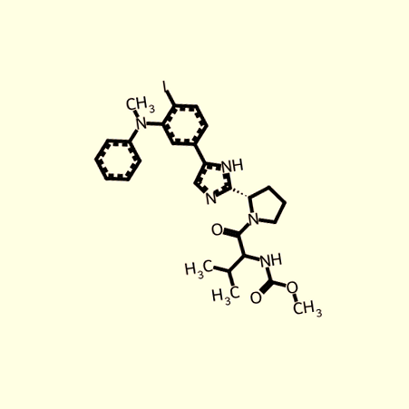 COC(=O)NC(C(=O)N1CCC[C@H]1c1ncc(-c2ccc(I)c(N(C)c3ccccc3)c2)[nH]1)C(C)C